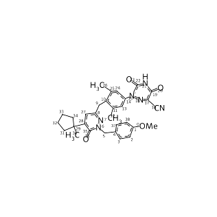 COc1ccc(Cn2nc(Cc3c(C)cc(-n4nc(C#N)c(=O)[nH]c4=O)cc3C)cc(C3(C)CCCC3)c2=O)cc1